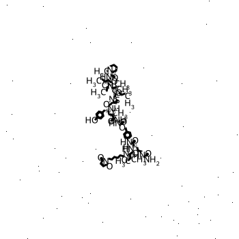 CCCO[C@H](C[C@H](C(C)C)N(CCC)C(=O)[C@@H](NC(=O)[C@H]1CCCCN1C)[C@@H](C)CC)c1nc(C(=O)N[C@@H](Cc2ccc(O)cc2)C[C@H](C)C(=O)NNC(=O)OCc2ccc(NC(=O)[C@H](CCCNC(N)=O)NC(=O)[C@@H](NC(=O)CCCCCN3C(=O)C=CC3=O)C(C)C)cc2)cs1